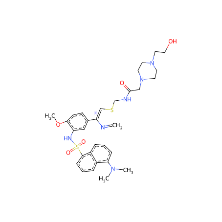 C=N/C(=C\SCNC(=O)CN1CCN(CCO)CC1)c1ccc(OC)c(NS(=O)(=O)c2cccc3c(N(C)C)cccc23)c1